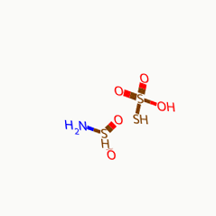 N[SH](=O)=O.O=S(=O)(O)S